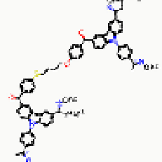 CCCCCCCC(=NOC(C)=O)c1ccc2c(c1)c1cc(C(=O)c3ccc(SCCCCOc4ccc(C(=O)c5ccc6c(c5)c5cc(C(CCC(=O)OCC)=NOC(C)=O)ccc5n6-c5ccc(/C(C)=N/OC(C)=O)cc5)cc4)cc3)ccc1n2-c1ccc(/C(C)=N/OC(C)=O)cc1